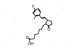 Cc1cc(F)ccc1C=CC1CCC(=O)C1CCCCCCC(=O)O